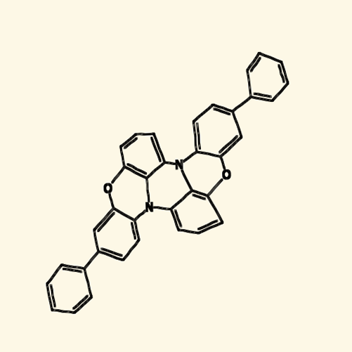 c1ccc(-c2ccc3c(c2)oc2cccc4c2-n3c2cccc3oc5cc(-c6ccccc6)ccc5n4-c32)cc1